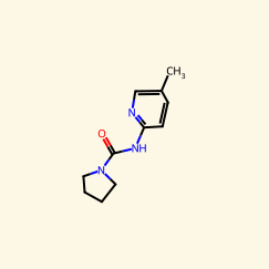 Cc1ccc(NC(=O)N2CCCC2)nc1